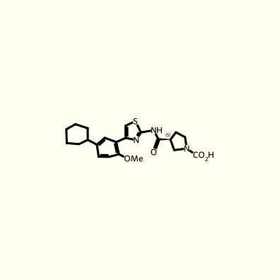 COc1ccc(C2CCCCC2)cc1-c1csc(NC(=O)[C@H]2CCN(C(=O)O)C2)n1